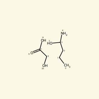 CCCC(N)O.O=C(O)CO